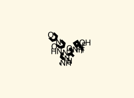 C=NN1C(NC)=CC(Nc2cccn(C3CCOCC3)c2=O)=N/C1=C(/C)C(=O)N[C@@H]1CC[C@]1(O)C(F)(F)F